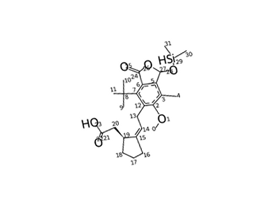 COc1c(C)c2c(c(C(C)(C)C)c1CC=C1CCC[C@H]1CC(=O)O)C(=O)OC2O[SiH](C)C